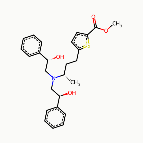 COC(=O)c1ccc(CC[C@H](C)N(C[C@@H](O)c2ccccc2)C[C@@H](O)c2ccccc2)s1